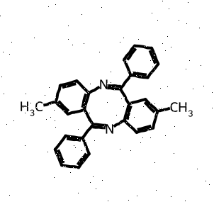 Cc1ccc2c(c1)/C(c1ccccc1)=N\c1ccc(C)cc1/C(c1ccccc1)=N\2